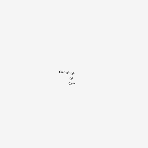 [Co+2].[Ge+4].[O-2].[O-2].[O-2]